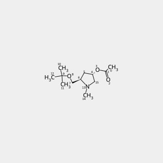 CC(=O)O[C@H]1C[C@H](COC(C)(C)C)N(C)C1